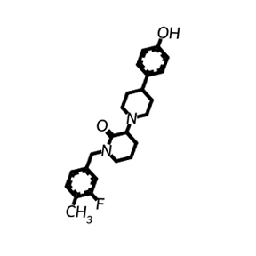 Cc1ccc(CN2CCCC(N3CCC(c4ccc(O)cc4)CC3)C2=O)cc1F